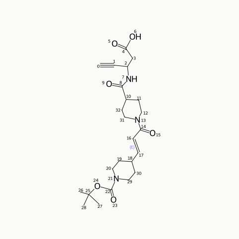 C#CC(CC(=O)O)NC(=O)C1CCN(C(=O)/C=C/C2CCN(C(=O)OC(C)(C)C)CC2)CC1